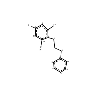 Fc1cc(F)c(CCCc2ccccc2)c(F)c1